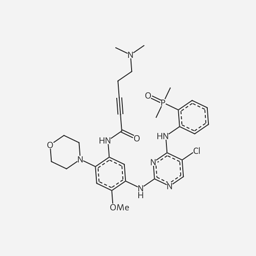 COc1cc(N2CCOCC2)c(NC(=O)C#CCCN(C)C)cc1Nc1ncc(Cl)c(Nc2ccccc2P(C)(C)=O)n1